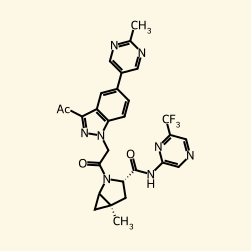 CC(=O)c1nn(CC(=O)N2C3C[C@]3(C)C[C@H]2C(=O)Nc2cncc(C(F)(F)F)n2)c2ccc(-c3cnc(C)nc3)cc12